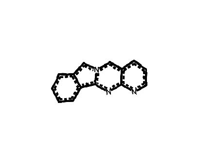 c1cnc2nc3c4ccccc4cn3cc2c1